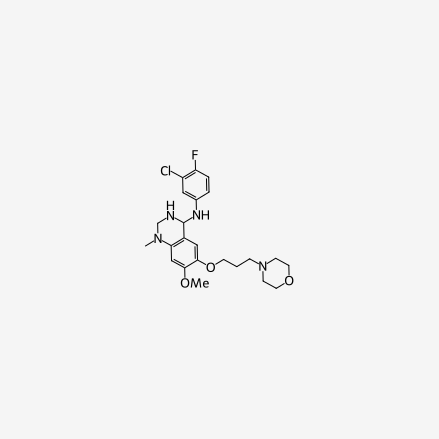 COc1cc2c(cc1OCCCN1CCOCC1)C(Nc1ccc(F)c(Cl)c1)NCN2C